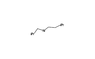 CC(C)CC[N]CC(C)C